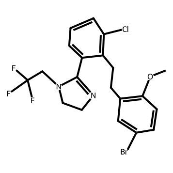 COc1ccc(Br)cc1CCc1c(Cl)cccc1C1=NCCN1CC(F)(F)F